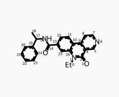 CCn1c(=O)c2cnccc2c2ccc(C(=O)NC(C)c3ccccc3)cc21